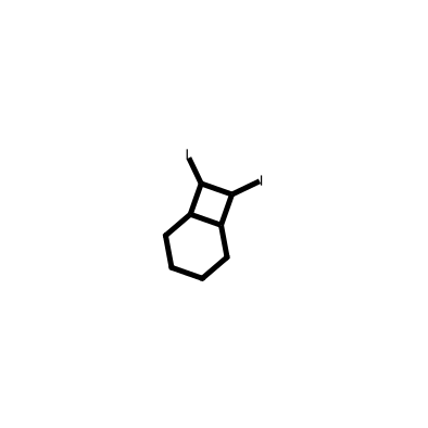 IC1C(I)C2CCCCC12